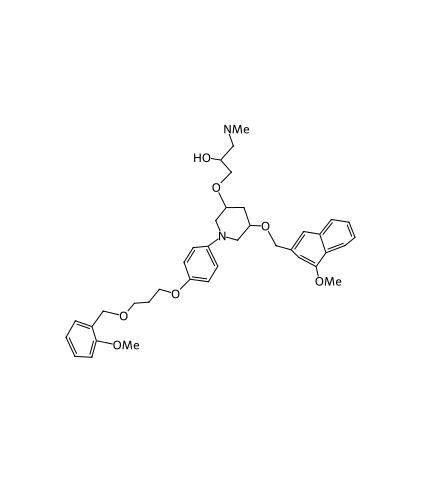 CNCC(O)COC1CC(OCc2cc(OC)c3ccccc3c2)CN(c2ccc(OCCCOCc3ccccc3OC)cc2)C1